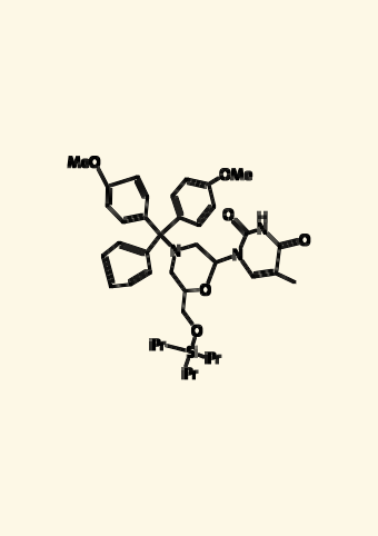 COc1ccc(C(c2ccccc2)(c2ccc(OC)cc2)N2CC(CO[Si](C(C)C)(C(C)C)C(C)C)OC(n3cc(C)c(=O)[nH]c3=O)C2)cc1